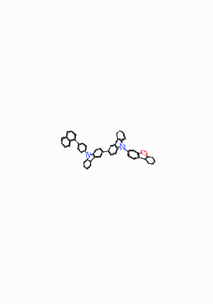 c1ccc2c(-c3ccc(-n4c5ccccc5c5cc(-c6ccc7c(c6)c6ccccc6n7-c6ccc7c(c6)oc6ccccc67)ccc54)cc3)cccc2c1